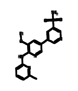 CCOc1cc(-c2cncc(S(N)(=O)=O)c2)cnc1Nc1cccc(C)n1